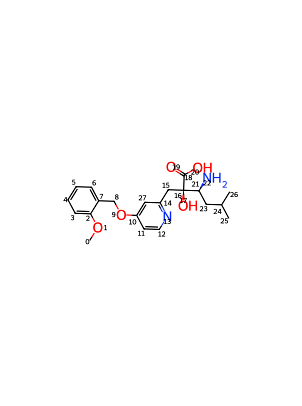 COc1ccccc1COc1ccnc(C[C@](O)(C(=O)O)[C@@H](N)CC(C)C)c1